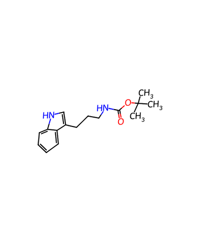 CC(C)(C)OC(=O)NCCCc1c[nH]c2ccccc12